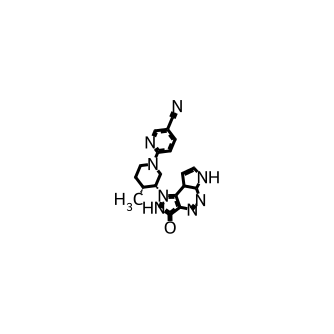 C[C@@H]1CCN(c2ccc(C#N)cn2)C[C@@H]1n1[nH]c(=O)c2c1C1C=CNC1N=N2